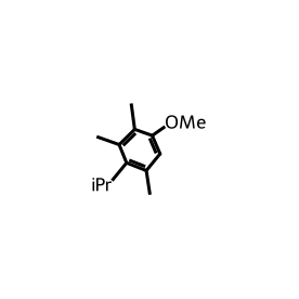 COc1cc(C)c(C(C)C)c(C)c1C